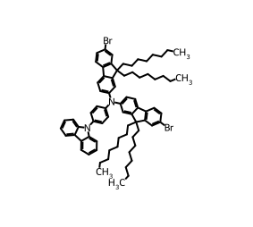 CCCCCCCCC1(CCCCCCCC)c2cc(Br)ccc2-c2ccc(N(c3ccc(-n4c5ccccc5c5ccccc54)cc3)c3ccc4c(c3)C(CCCCCCCC)(CCCCCCCC)c3cc(Br)ccc3-4)cc21